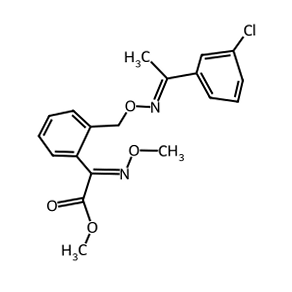 CO/N=C(/C(=O)OC)c1ccccc1CO/N=C(\C)c1cccc(Cl)c1